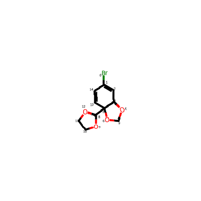 BrC1=CC2OCOC2(C2OCCO2)C=C1